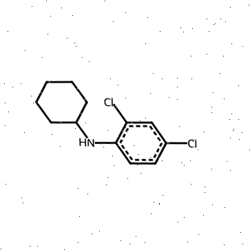 Clc1ccc(NC2CCCCC2)c(Cl)c1